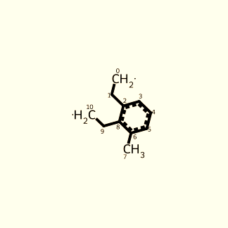 [CH2]Cc1cccc(C)c1C[CH2]